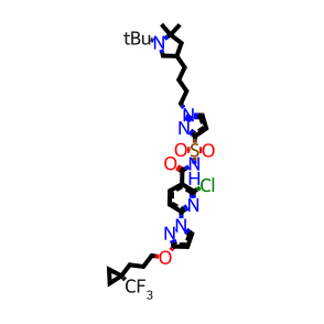 CC(C)(C)N1CC(CCCCn2ccc(S(=O)(=O)NC(=O)c3ccc(-n4ccc(OCCCC5(C(F)(F)F)CC5)n4)nc3Cl)n2)CC1(C)C